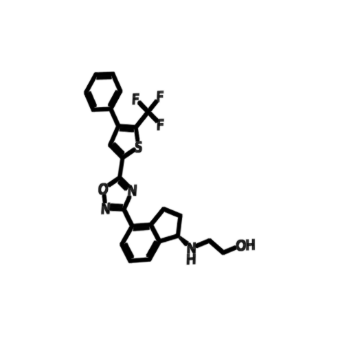 OCCN[C@@H]1CCc2c(-c3noc(-c4cc(-c5ccccc5)c(C(F)(F)F)s4)n3)cccc21